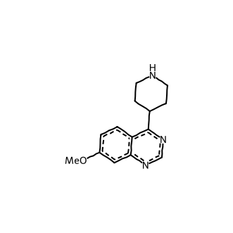 COc1ccc2c(C3CCNCC3)ncnc2c1